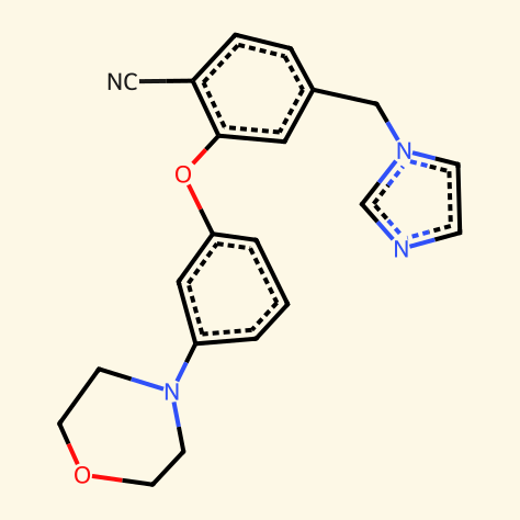 N#Cc1ccc(Cn2ccnc2)cc1Oc1cccc(N2CCOCC2)c1